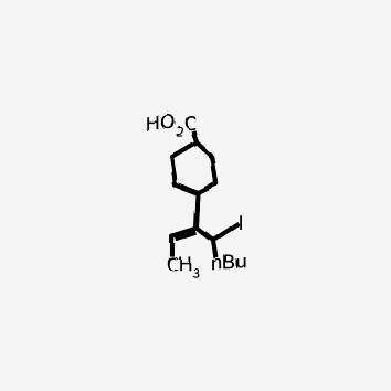 CC=C(C(I)CCCC)C1CCC(C(=O)O)CC1